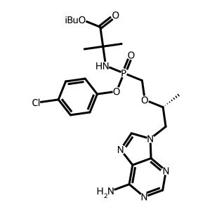 CC(C)COC(=O)C(C)(C)NP(=O)(CO[C@H](C)Cn1cnc2c(N)ncnc21)Oc1ccc(Cl)cc1